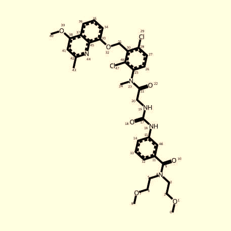 COCCN(CCOC)C(=O)c1cccc(NC(=O)NCC(=O)N(C)c2ccc(Cl)c(COc3cccc4c(OC)cc(C)nc34)c2Cl)c1